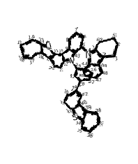 C1=Cc2c(n(-c3cccc4c5c6oc7ccccc7c6ccc5n(-c5cccc(-c6ccc7sc8ccccc8c7c6)c5)c34)c3ccccc23)CC1